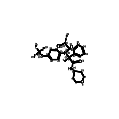 C[C@](C(=O)NC1CCOCC1)(c1cccnc1)N(C(=O)[C@H](F)Cl)c1ccc(SC(F)(F)F)cc1